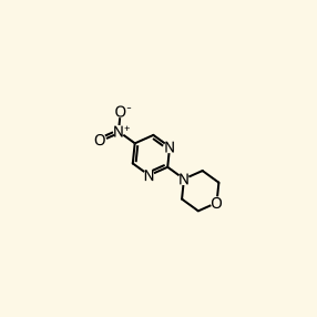 O=[N+]([O-])c1cnc(N2CCOCC2)nc1